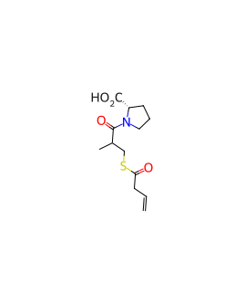 C=CCC(=O)SCC(C)C(=O)N1CCC[C@H]1C(=O)O